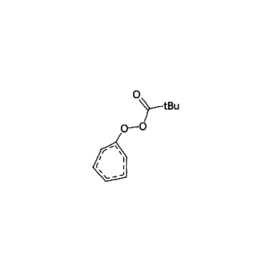 CC(C)(C)C(=O)OOc1ccccc1